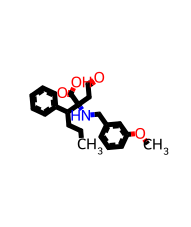 CCCC(c1ccccc1)C(CC=O)(NCc1cccc(OC)c1)C(=O)O